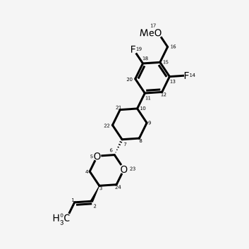 C/C=C/[C@H]1CO[C@H](C2CCC(c3cc(F)c(COC)c(F)c3)CC2)OC1